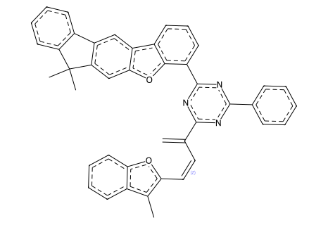 C=C(/C=C\c1oc2ccccc2c1C)c1nc(-c2ccccc2)nc(-c2cccc3c2oc2cc4c(cc23)-c2ccccc2C4(C)C)n1